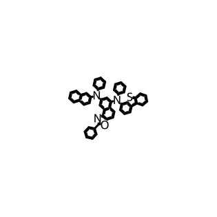 c1ccc(-c2nc3c(ccc4c(N(c5ccccc5)c5cccc6c5sc5ccccc56)cc(N(c5ccccc5)c5ccc6ccccc6c5)cc43)o2)cc1